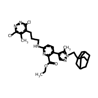 CCOC(=O)c1nc(NCCCc2c(Cl)nnc(Cl)c2C)ccc1-c1cnn(CC23CC4CC(CC(C4)C2)C3)c1C